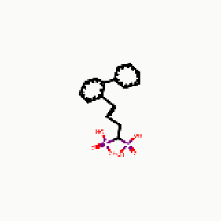 O=P(O)(O)C(C/C=C/c1ccccc1-c1ccccc1)P(=O)(O)O